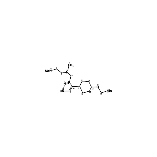 CNCCN(C)Cc1n[nH]cc1C1CCC(OCC(C)(C)C)CC1